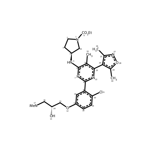 CCOC(=O)N1CC[C@H](Nc2nc(-c3cc(OC[C@H](O)CNC)ccc3Cl)nc(-c3c(C)noc3C)c2C)C1